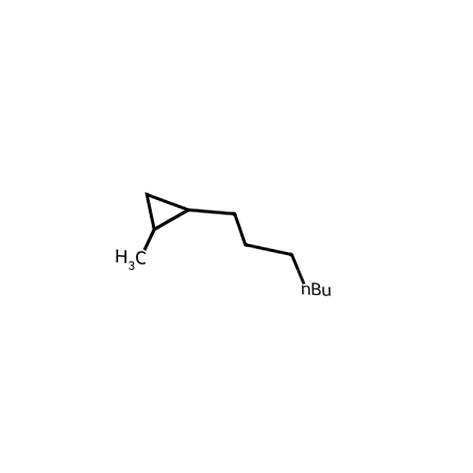 CCCCCCCC1CC1C